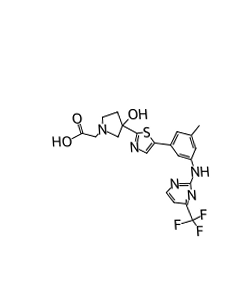 Cc1cc(Nc2nccc(C(F)(F)F)n2)cc(-c2cnc(C3(O)CCN(CC(=O)O)C3)s2)c1